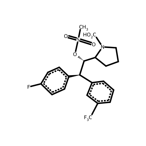 CS(=O)(=O)O[C@H](C1CCCN1C(=O)O)[C@H](c1ccc(F)cc1)c1cccc(C(F)(F)F)c1